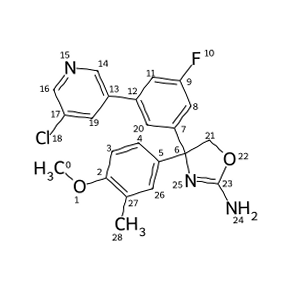 COc1ccc(C2(c3cc(F)cc(-c4cncc(Cl)c4)c3)COC(N)=N2)cc1C